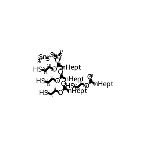 CCCCCCCC(=O)OCCS.CCCCCCCC(=O)OCCS.CCCCCCCC(=O)OCCS.CCCCCCCC(=O)OCCS.[CH3][Sn][S][S][Sn][CH3]